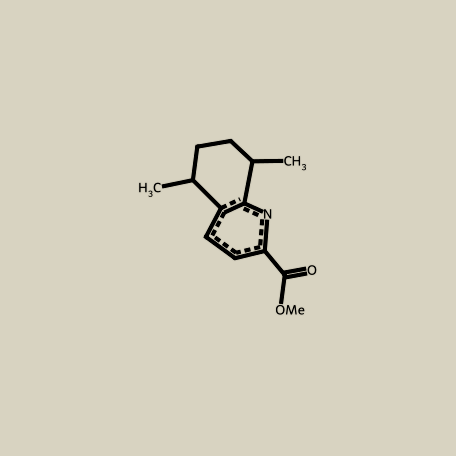 COC(=O)c1ccc2c(n1)C(C)CCC2C